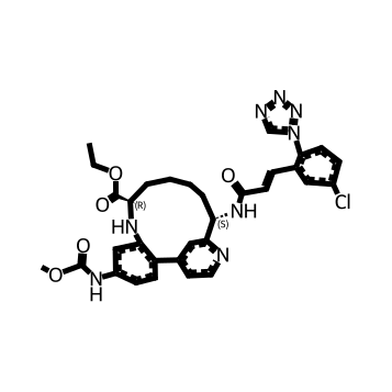 CCOC(=O)[C@H]1CCCC[C@H](NC(=O)C=Cc2cc(Cl)ccc2-n2cnnn2)c2cc(ccn2)-c2ccc(NC(=O)OC)cc2N1